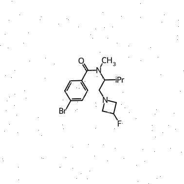 CC(C)C(CN1CC(F)C1)N(C)C(=O)c1ccc(Br)cc1